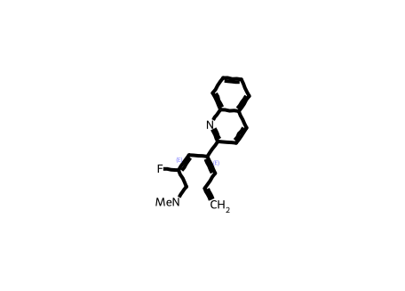 C=C/C=C(\C=C(\F)CNC)c1ccc2ccccc2n1